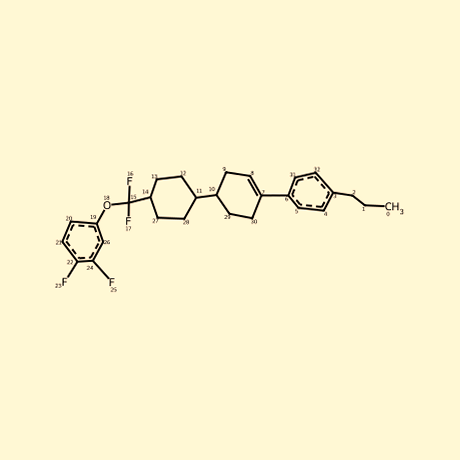 CCCc1ccc(C2=CCC(C3CCC(C(F)(F)Oc4ccc(F)c(F)c4)CC3)CC2)cc1